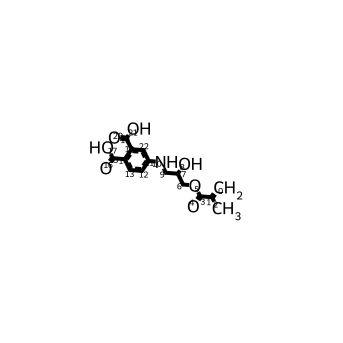 C=C(C)C(=O)OCC(O)CNc1ccc(C(=O)O)c(C(=O)O)c1